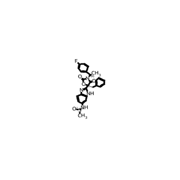 C[C@H](c1ccc(F)cc1)N1C(=O)O[C@](Cc2ccccc2)(c2nc3ccc(N[S+](C)[O-])cc3[nH]2)C1=O